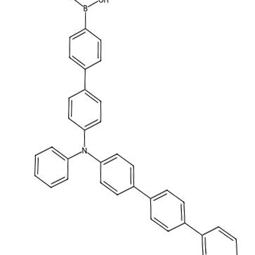 OB(O)c1ccc(-c2ccc(N(c3ccccc3)c3ccc(-c4ccc(-c5ccccc5)cc4)cc3)cc2)cc1